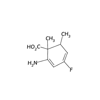 CC1C=C(F)C=C(N)C1(C)C(=O)O